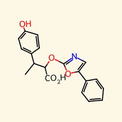 CC(c1ccc(O)cc1)C(Oc1ncc(-c2ccccc2)o1)C(=O)O